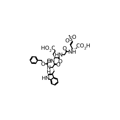 CS(=O)(=O)/C=C/[C@H](CC(=O)O)NC(=O)CNC(=O)[C@H](CCC(=O)O)NC(=O)[C@H](Cc1c[nH]c2ccccc12)NC(=O)OCc1ccccc1